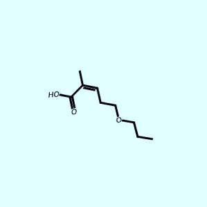 CCCOCCC=C(C)C(=O)O